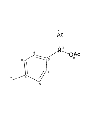 CC(=O)ON(C(C)=O)c1ccc(C)cc1